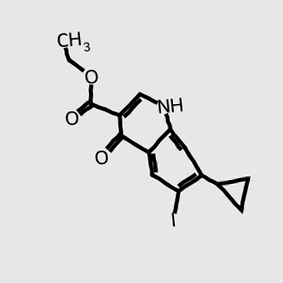 CCOC(=O)c1c[nH]c2cc(C3CC3)c(I)cc2c1=O